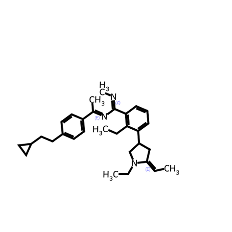 C/C=C1\CC(c2cccc(C(=N/C)/N=C(\C)c3ccc(CCC4CC4)cc3)c2CC)CN1CC